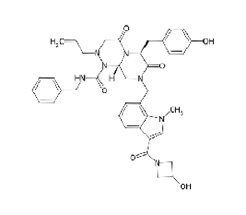 C=CCN1CC(=O)N2[C@@H](Cc3ccc(O)cc3)C(=O)N(Cc3cccc4c(C(=O)N5CC(O)C5)cn(C)c34)C[C@@H]2N1C(=O)NCc1ccccc1